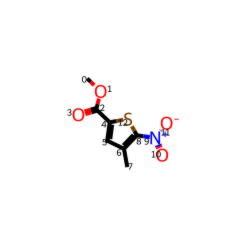 COC(=O)c1cc(C)c([N+](=O)[O-])s1